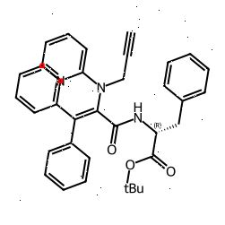 C#CCN(C(C(=O)N[C@H](Cc1ccccc1)C(=O)OC(C)(C)C)=C(c1ccccc1)c1ccccc1)c1ccccn1